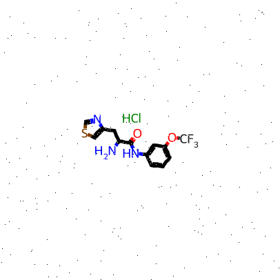 Cl.NC(Cc1cscn1)C(=O)Nc1cccc(OC(F)(F)F)c1